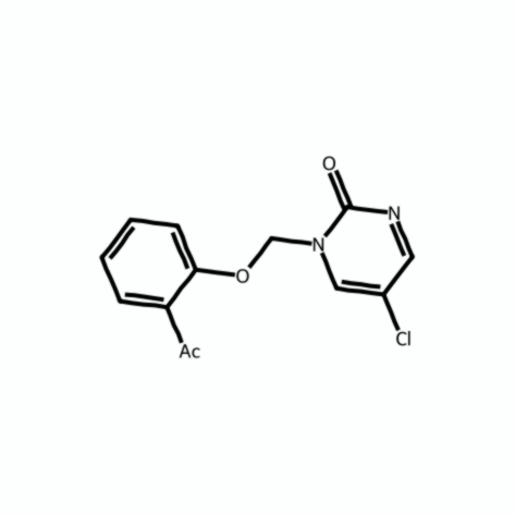 CC(=O)c1ccccc1OCn1cc(Cl)cnc1=O